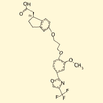 COc1cc(-c2nc(C(F)(F)F)co2)ccc1OCCCOc1ccc2c(c1)CC[C@H]2CC(=O)O